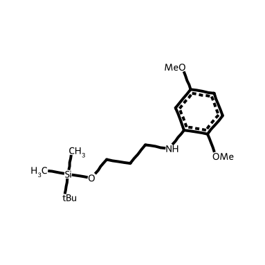 COc1ccc(OC)c(NCCCO[Si](C)(C)C(C)(C)C)c1